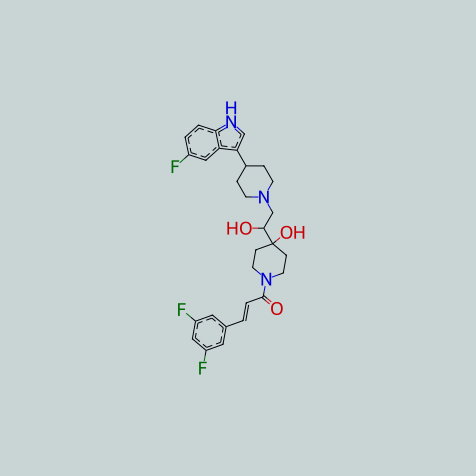 O=C(C=Cc1cc(F)cc(F)c1)N1CCC(O)(C(O)CN2CCC(c3c[nH]c4ccc(F)cc34)CC2)CC1